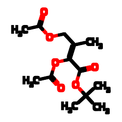 CC(=O)OCC(C)=C(OC(C)=O)C(=O)OC(C)(C)C